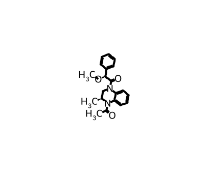 CO[C@H](C(=O)N1C[C@H](C)N(C(C)=O)c2ccccc21)c1ccccc1